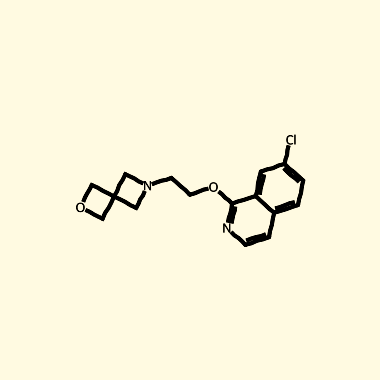 Clc1ccc2ccnc(OCCN3CC4(COC4)C3)c2c1